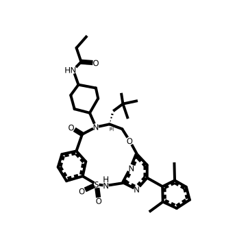 CCC(=O)NC1CCC(N2C(=O)c3cccc(c3)S(=O)(=O)Nc3nc(cc(-c4c(C)cccc4C)n3)OC[C@H]2CC(C)(C)C)CC1